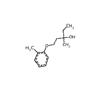 CCC(C)(O)CCOc1ccccc1C